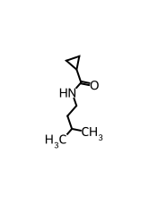 CC(C)CCNC(=O)C1CC1